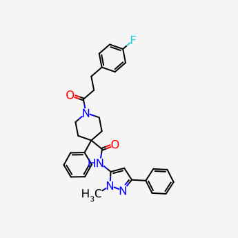 Cn1nc(-c2ccccc2)cc1NC(=O)C1(c2ccccc2)CCN(C(=O)CCc2ccc(F)cc2)CC1